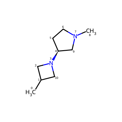 CC1CN([C@H]2CCN(C)C2)C1